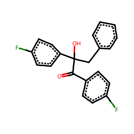 O=C(c1ccc(F)cc1)C(O)(Cc1ccccc1)c1ccc(F)cc1